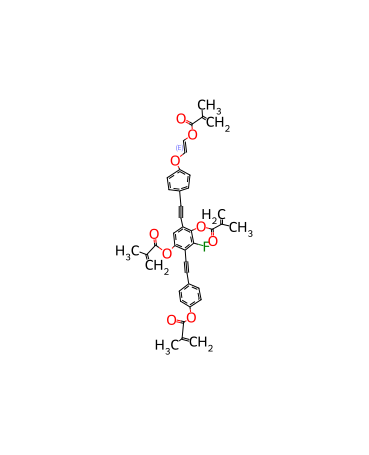 C=C(C)C(=O)O/C=C/Oc1ccc(C#Cc2cc(OC(=O)C(=C)C)c(C#Cc3ccc(OC(=O)C(=C)C)cc3)c(F)c2OC(=O)C(=C)C)cc1